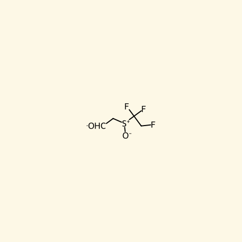 O=[C]C[S+]([O-])C(F)(F)CF